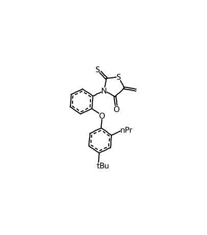 C=C1SC(=S)N(c2ccccc2Oc2ccc(C(C)(C)C)cc2CCC)C1=O